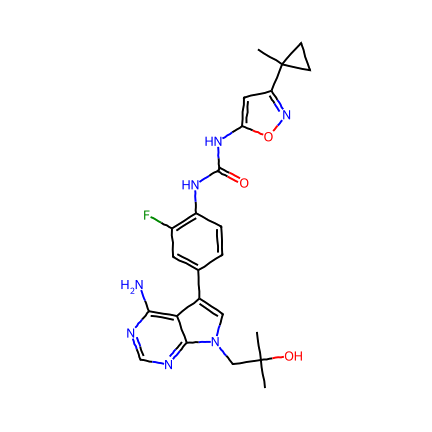 CC(C)(O)Cn1cc(-c2ccc(NC(=O)Nc3cc(C4(C)CC4)no3)c(F)c2)c2c(N)ncnc21